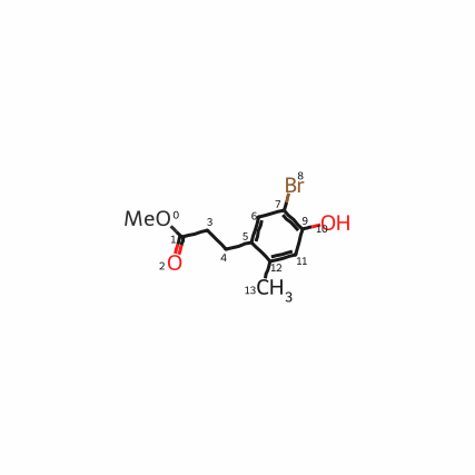 COC(=O)CCc1cc(Br)c(O)cc1C